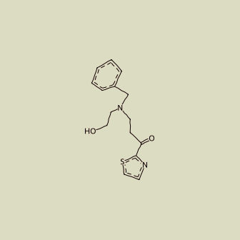 O=C(CCN(CCO)Cc1ccccc1)c1nccs1